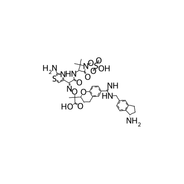 CC(ON=C(C(=O)NC1C(=O)N(OS(=O)(=O)O)C1(C)C)c1csc(N)n1)(C(=O)O)C1CCc2cc(C(=N)NCc3ccc4c(c3)CC[C@@H]4N)ccc2O1